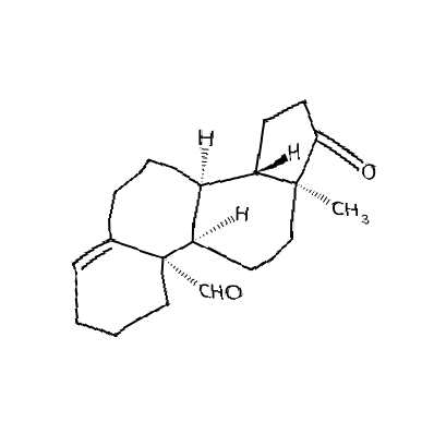 C[C@]12CC[C@@H]3[C@@H](CCC4=CCCC[C@@]43C=O)[C@@H]1CCC2=O